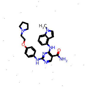 Cn1ccc2c(Nc3nc(Nc4ccc(OCCN5CCCC5)cc4)ncc3C(N)=O)cccc21